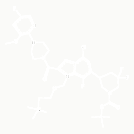 COc1cc(F)cnc1N1CCN(C(=O)c2cc3c(Cl)cc(C4CN(C(=O)OC(C)(C)C)CC(F)(F)C4)c(F)c3n2COCC[Si](C)(C)C)CC1